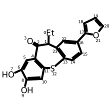 CCC1C(=O)c2cc(O)c(O)cc2Sc2ccc(-c3ccco3)cc21